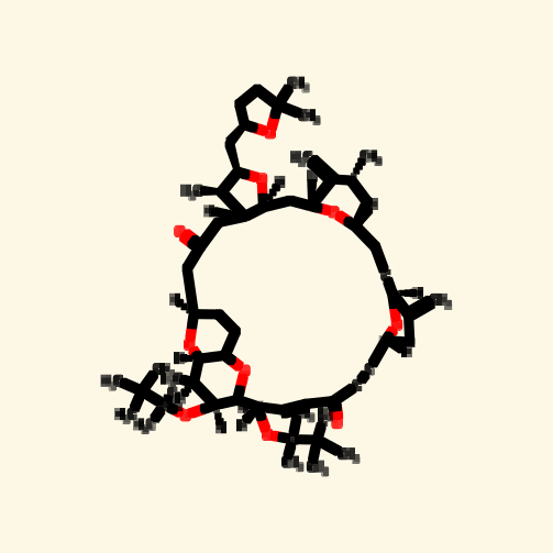 C=C1C[C@@H]2CCC(=O)/C=C/[C@H](O[Si](C)(C)C(C)(C)C)[C@@H]3OC4CC[C@H](CC(=O)C[C@@H]5[C@@H](C)[C@@H](C[C@H]6CCC(C)(C)O6)O[C@H]5C[C@H]5O[C@@H](CC[C@@H]1O2)C[C@@H](C)C5=C)O[C@@H]4[C@H](C)[C@@H]3O[Si](C)(C)C(C)(C)C